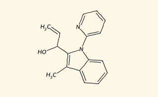 C=CC(O)c1c(C)c2ccccc2n1-c1ccccn1